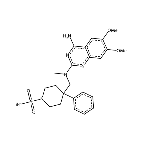 COc1cc2nc(N(C)CC3(c4ccccc4)CCN(S(=O)(=O)C(C)C)CC3)nc(N)c2cc1OC